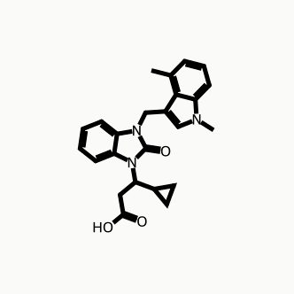 Cc1cccc2c1c(Cn1c(=O)n(C(CC(=O)O)C3CC3)c3ccccc31)cn2C